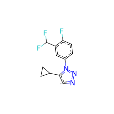 Fc1ccc(-n2nn[c]c2C2CC2)cc1C(F)F